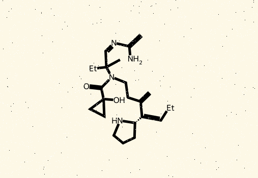 C=C(N)/N=C\C(C)(CC)N(CCC(=C)/C(=C\CC)[C@@H]1CCCN1)C(=O)C1(O)CC1